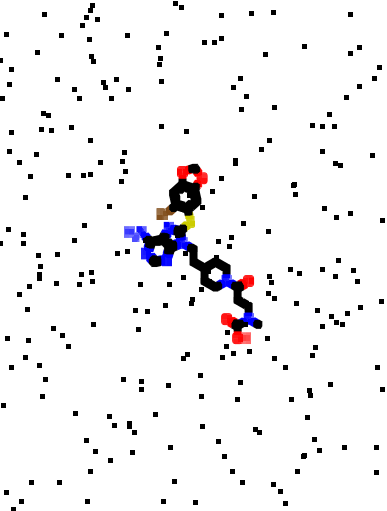 CN(CCC(=O)N1CCC(CCn2c(Sc3cc4c(cc3Br)OCO4)nc3c(N)ncnc32)CC1)C(=O)O